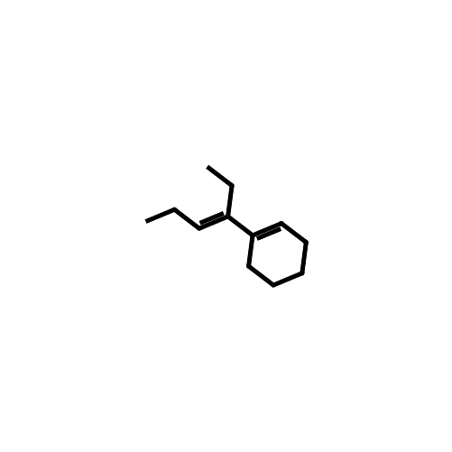 CCC=C(CC)C1=CCCCC1